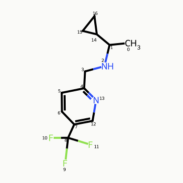 CC(NCc1ccc(C(F)(F)F)cn1)C1CC1